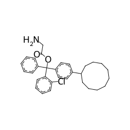 NCC(=O)OC(c1ccccc1)(c1ccc(C2CCCCCCCCC2)cc1)c1ccccc1Cl